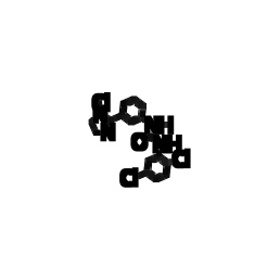 O=C(Nc1cccc(C2=NCCN2Cl)c1)Nc1cc(Cl)ccc1Cl